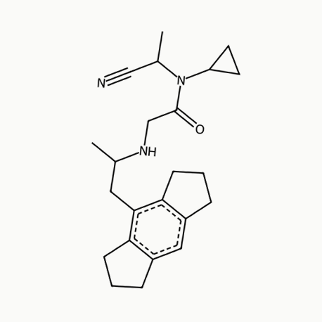 CC(Cc1c2c(cc3c1CCC3)CCC2)NCC(=O)N(C(C)C#N)C1CC1